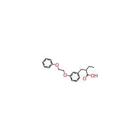 CCC(Cc1cccc(OCCOc2ccccc2)c1)C(=O)O